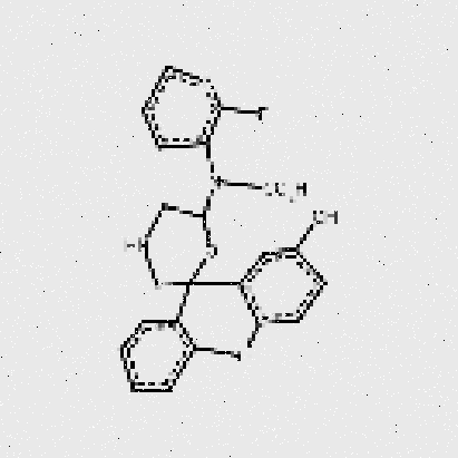 O=C(O)N(c1cccnc1F)C1CNCC2(O1)c1ccccc1Oc1ccc(O)cc12